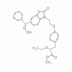 CCOC(Cc1ccc(OCCn2c(=O)sc3cc(/C(=N\O)c4ccccc4)ccc32)cc1)C(=O)OC